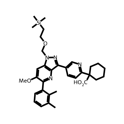 COc1cc2c(nc1-c1cccc(C)c1C)c(-c1ccc(C3(C(=O)O)CCCCC3)nc1)nn2COCC[Si](C)(C)C